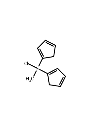 C[Si](Cl)(C1=CC=CC1)C1=CC=CC1